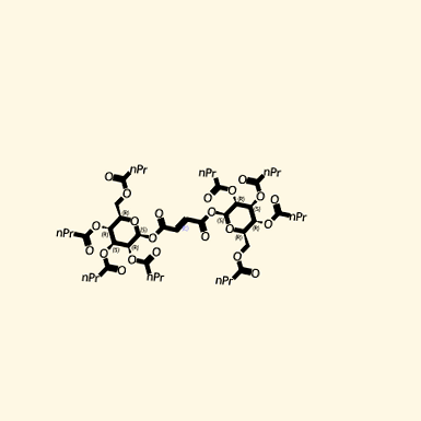 CCCC(=O)OC[C@H]1O[C@@H](OC(=O)/C=C/C(=O)O[C@@H]2O[C@H](COC(=O)CCC)[C@@H](OC(=O)CCC)[C@H](OC(=O)CCC)[C@H]2OC(=O)CCC)[C@H](OC(=O)CCC)[C@@H](OC(=O)CCC)[C@@H]1OC(=O)CCC